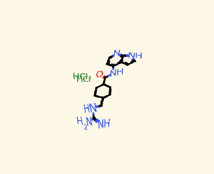 Cl.Cl.N=C(N)NCC1CCC(C(=O)Nc2ccnc3[nH]ccc23)CC1